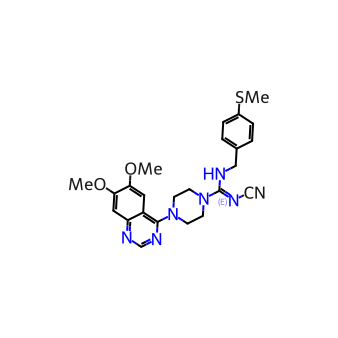 COc1cc2ncnc(N3CCN(/C(=N/C#N)NCc4ccc(SC)cc4)CC3)c2cc1OC